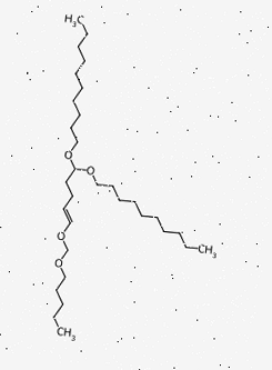 CCCCCCCCCCOC(CCC=COCOCCCCC)OCCCCCCCCCC